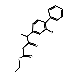 CCOC(=O)CC(=O)C(C)c1ccc(-c2ccccc2)c(F)c1